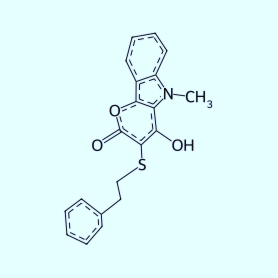 Cn1c2ccccc2c2oc(=O)c(SCCc3ccccc3)c(O)c21